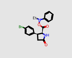 CCN(OC(=O)[C@H]1NC(=O)C[C@H]1c1ccc(Br)cc1)c1ccccc1